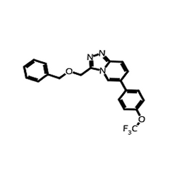 FC(F)(F)Oc1ccc(-c2ccc3nnc(COCc4ccccc4)n3c2)cc1